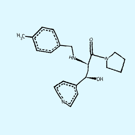 Cc1ccc(CN[C@@H](C(=O)N2CCCC2)[C@@H](O)c2ccncc2)cc1